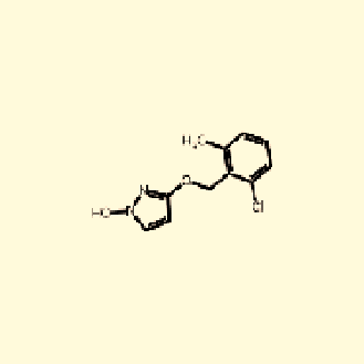 Cc1cccc(Cl)c1COc1ccn(O)n1